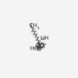 CCCCCCCCCCCCc1ccccc1S(=O)(=O)O.[LiH]